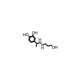 CC(NNCCCO)c1ccc(O)c(O)c1